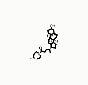 CC(CCC(=O)N1CCO[C@H](C)CC1)[C@H]1CC[C@H]2[C@@H]3CC=C4C[C@@H](O)CC[C@]4(C)[C@H]3CC[C@]12C